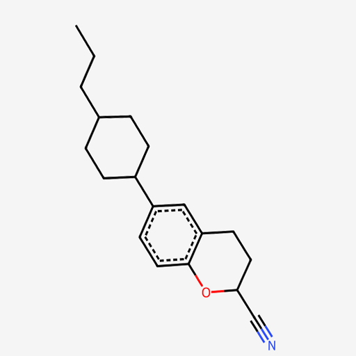 CCCC1CCC(c2ccc3c(c2)CCC(C#N)O3)CC1